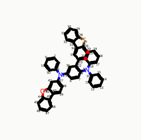 c1ccc(N(c2ccc(N(c3ccccc3)c3ccccc3)c(-c3ccc4sc5ccccc5c4c3)c2)c2ccc3c(c2)oc2ccccc23)cc1